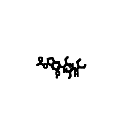 CCc1nc(-c2cc3c(cc2OC)C(OC(C)=O)CC3)c(CC)nc1NC(CC)CC